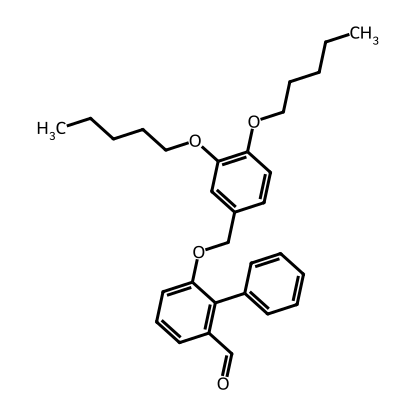 CCCCCOc1ccc(COc2cccc(C=O)c2-c2ccccc2)cc1OCCCCC